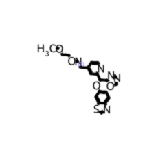 COCCO/N=C/c1ccnc(C(Oc2ccc3ncsc3c2)c2nnco2)c1